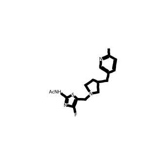 CC(=O)Nc1nc(F)c(CN2CCC(Cc3ccc(C)nc3)C2)s1